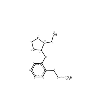 O=C(O)CCc1ccccc1CC1OCOC1CO